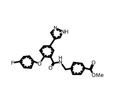 COC(=O)c1ccc(CNC(=O)c2cc(-c3cn[nH]c3)ccc2Oc2ccc(F)cc2)cc1